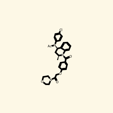 CC(=O)N(c1ccc(Cl)cc1)[C@@H]1C[C@H](C)N(C(=O)c2ccc(OCC(=O)N3CCOCC3)cc2)c2ccccc21